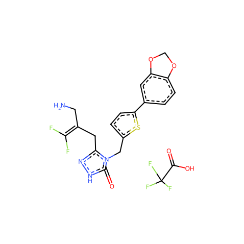 NCC(Cc1n[nH]c(=O)n1Cc1ccc(-c2ccc3c(c2)OCO3)s1)=C(F)F.O=C(O)C(F)(F)F